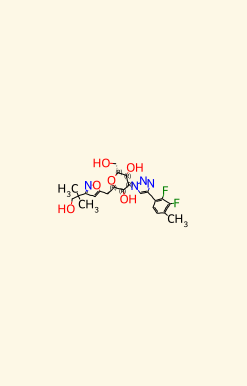 Cc1ccc(-c2cn([C@H]3[C@@H](O)[C@@H](CO)O[C@H](Cc4cc(C(C)(C)CO)no4)[C@@H]3O)nn2)c(F)c1F